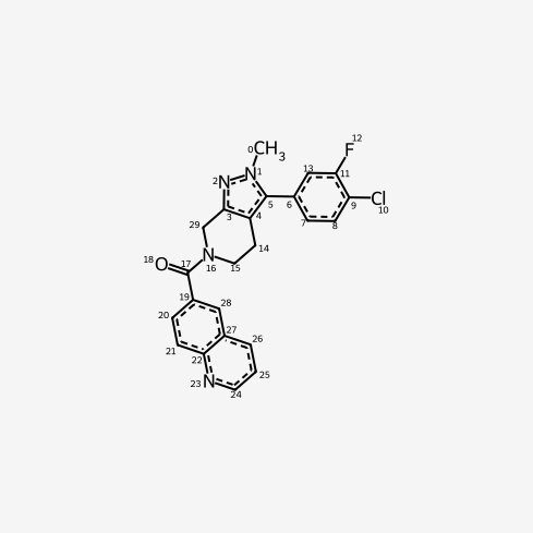 Cn1nc2c(c1-c1ccc(Cl)c(F)c1)CCN(C(=O)c1ccc3ncccc3c1)C2